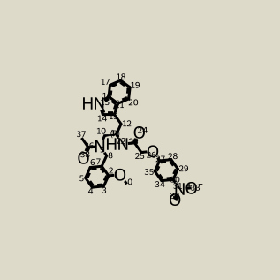 COc1ccccc1CN(C[C@@H](Cc1c[nH]c2ccccc12)NC(=O)COc1ccc([N+](=O)[O-])cc1)C(C)=O